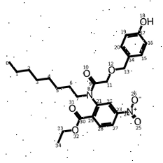 CCCCCCCCN(C(=O)COCc1ccc(O)cc1)c1cc([N+](=O)[O-])ccc1C(=O)OCC